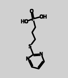 O=P(O)(O)CCCSc1ncccn1